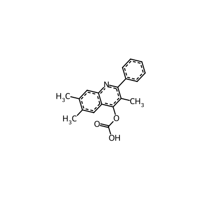 Cc1cc2nc(-c3ccccc3)c(C)c(OC(=O)O)c2cc1C